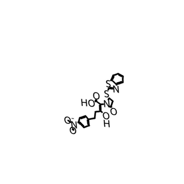 O=C(O)C(=C(O)CCc1ccc([N+](=O)[O-])cc1)N1C(=O)CC1Sc1nc2ccccc2s1